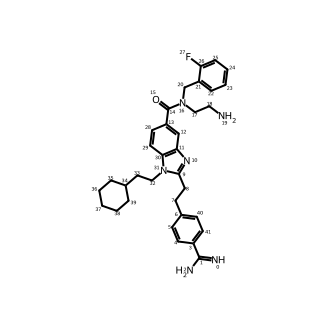 N=C(N)c1ccc(CCc2nc3cc(C(=O)N(CCN)Cc4ccccc4F)ccc3n2CCC2CCCCC2)cc1